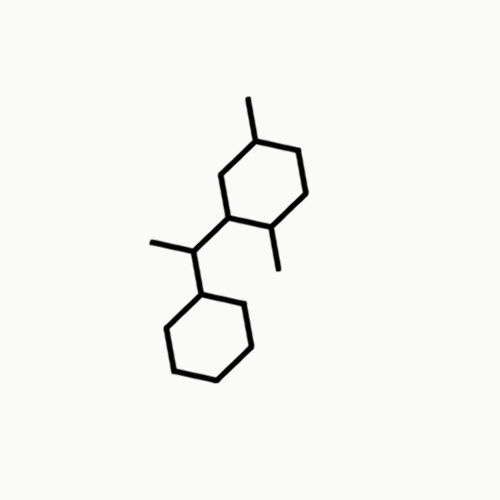 CC1CCC(C)C(C(C)C2CCCCC2)C1